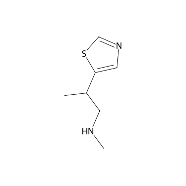 CNCC(C)c1cncs1